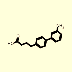 Nc1cccc(-c2ccc(CCCC(=O)O)cc2)c1